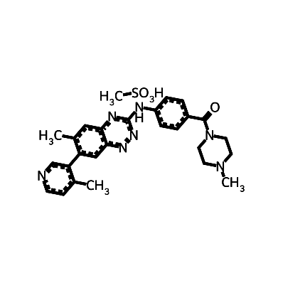 CS(=O)(=O)O.Cc1ccncc1-c1cc2nnc(Nc3ccc(C(=O)N4CCN(C)CC4)cc3)nc2cc1C